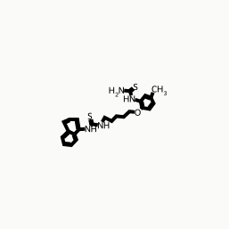 Cc1ccc(OCCCCCNC(=S)Nc2cccc3ccccc23)c(NC(N)=S)c1